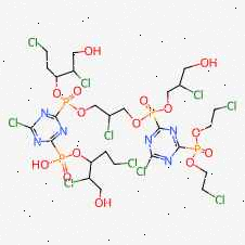 O=P(O)(OC(CCCl)C(Cl)CO)c1nc(Cl)nc(P(=O)(OCC(Cl)COP(=O)(OCC(Cl)CO)c2nc(Cl)nc(P(=O)(OCCCl)OCCCl)n2)OC(CCCl)C(Cl)CO)n1